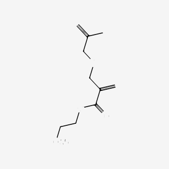 C=C(C)COCC(=C)C(=O)OCCOC